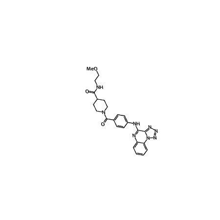 COCCNC(=O)C1CCN(C(=O)c2ccc(Nc3nc4ccccc4n4nnnc34)cc2)CC1